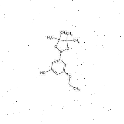 CCOc1cc(O)cc(B2OC(C)(C)C(C)(C)O2)c1